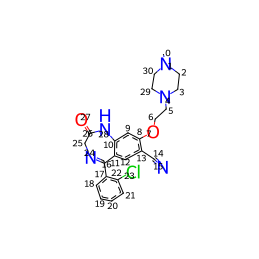 CN1CCN(CCOc2cc3c(cc2C#N)C(c2ccccc2Cl)=NCC(=O)N3)CC1